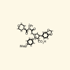 CCCN(C(=O)CN1CC(c2ccc3c(c2)OCO3)[C@H](C(=O)O)[C@H]1c1ccc(OC)cc1)C(=O)N1CCOCC1